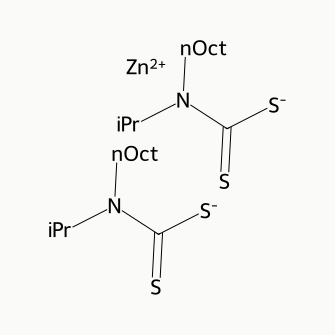 CCCCCCCCN(C(=S)[S-])C(C)C.CCCCCCCCN(C(=S)[S-])C(C)C.[Zn+2]